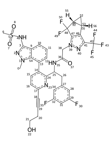 Cn1nc(NS(C)(=O)=O)c2cccc(-c3ccc(C#CCCO)nc3C(Cc3cc(F)cc(F)c3)NC(=O)Cn3nc(C(F)(F)F)c4c3C(F)(F)[C@@H]3C[C@H]43)c21